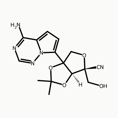 CC1(C)O[C@H]2C(c3ccc4c(N)ncnn34)(CO[C@]2(C#N)CO)O1